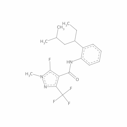 CCC(CC(C)C)c1ccccc1NC(=O)c1c(C(F)(F)F)nn(C)c1F